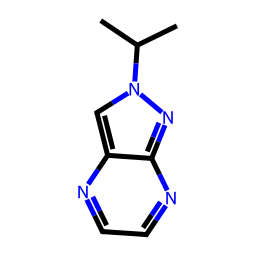 CC(C)n1cc2nccnc2n1